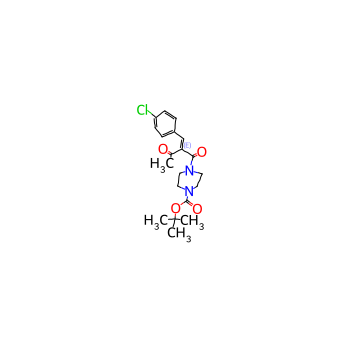 CC(=O)/C(=C\c1ccc(Cl)cc1)C(=O)N1CCN(C(=O)OC(C)(C)C)CC1